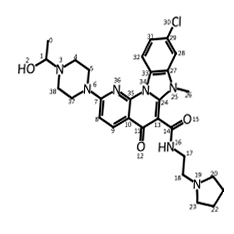 CC(O)N1CCN(c2ccc3c(=O)c(C(=O)NCCN4CCCC4)c4n(C)c5cc(Cl)ccc5n4c3n2)CC1